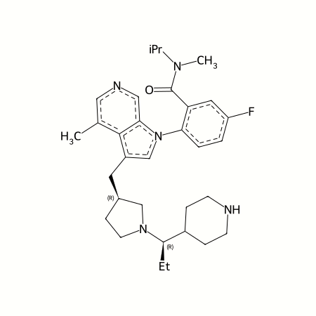 CC[C@H](C1CCNCC1)N1CC[C@@H](Cc2cn(-c3ccc(F)cc3C(=O)N(C)C(C)C)c3cncc(C)c23)C1